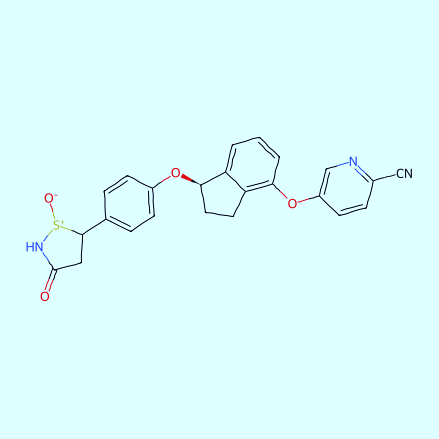 N#Cc1ccc(Oc2cccc3c2CC[C@H]3Oc2ccc(C3CC(=O)N[S+]3[O-])cc2)cn1